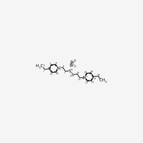 CCc1cc[n+](CCSSCC[n+]2ccc(CC)cc2)cc1.[Br-].[Br-]